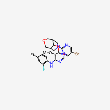 CCc1ccc(Nc2ncnc(OC3C4COCC3CN(c3ncc(Br)cn3)C4)c2OC)c(F)c1